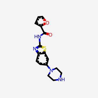 O=C(Nc1nc2ccc(N3CCNCC3)cc2s1)c1ccco1